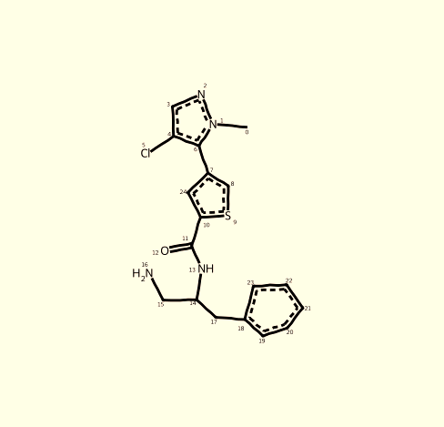 Cn1ncc(Cl)c1-c1csc(C(=O)NC(CN)Cc2ccccc2)c1